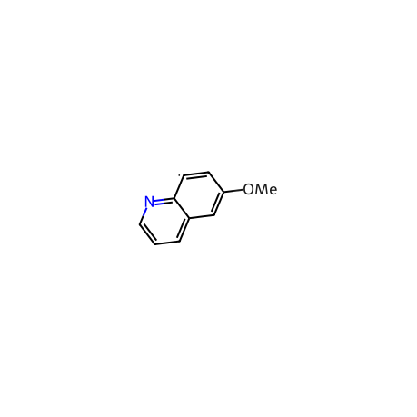 COc1c[c]c2ncccc2c1